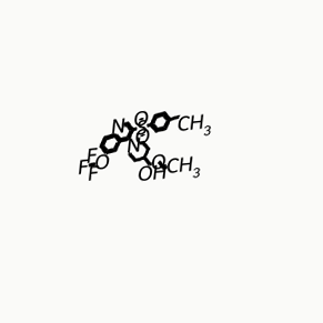 CCOC(O)C1CCN(c2c(S(=O)(=O)c3ccc(CC)cc3)cnc3ccc(OC(F)(F)F)cc23)CC1